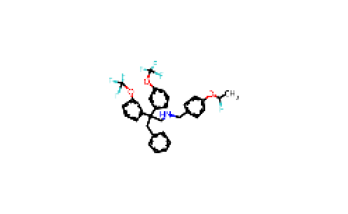 CC(F)Oc1ccc(CNCC(Cc2ccccc2)(c2cccc(OC(F)(F)F)c2)c2cccc(OC(F)(F)F)c2)cc1